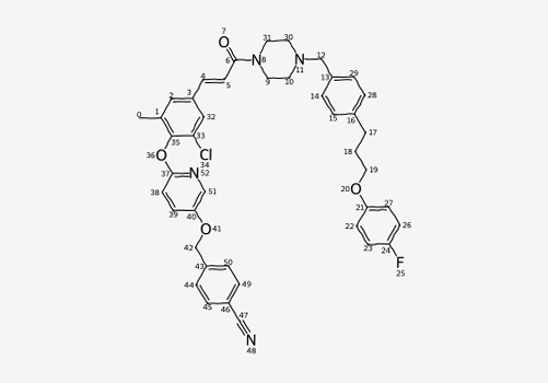 Cc1cc(C=CC(=O)N2CCN(Cc3ccc(CCCOc4ccc(F)cc4)cc3)CC2)cc(Cl)c1Oc1ccc(OCc2ccc(C#N)cc2)cn1